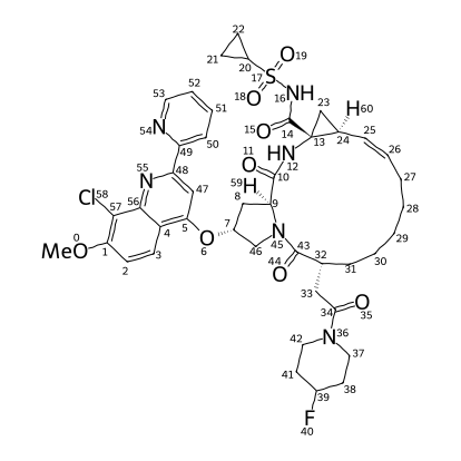 COc1ccc2c(O[C@@H]3C[C@H]4C(=O)N[C@]5(C(=O)NS(=O)(=O)C6CC6)C[C@H]5/C=C\CCCCC[C@H](CC(=O)N5CCC(F)CC5)C(=O)N4C3)cc(-c3ccccn3)nc2c1Cl